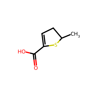 CC1CC=C(C(=O)O)S1